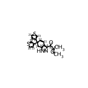 CON(C)C(=O)c1n[nH]c2c1C=CC(c1ccsc1)(c1ccsc1)C2